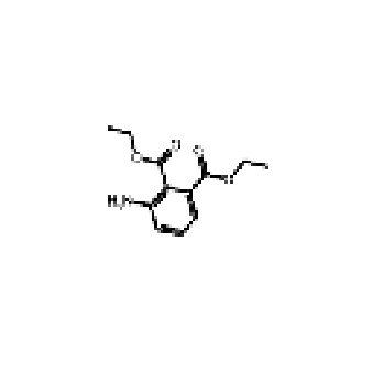 CCOC(=O)c1cccc(N)c1C(=O)OCC